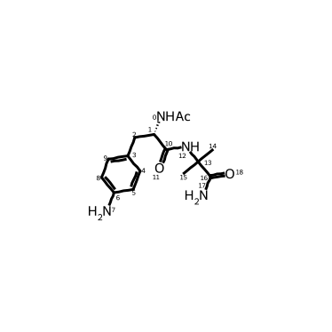 CC(=O)N[C@@H](Cc1ccc(N)cc1)C(=O)NC(C)(C)C(N)=O